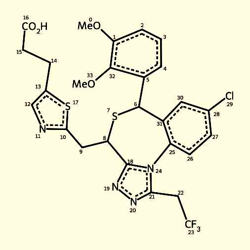 COc1cccc(C2SC(Cc3ncc(CCC(=O)O)s3)c3nnc(CC(F)(F)F)n3-c3ccc(Cl)cc32)c1OC